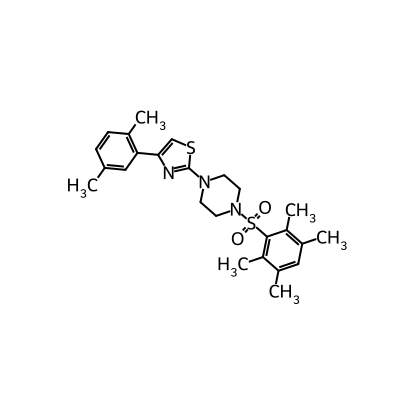 Cc1ccc(C)c(-c2csc(N3CCN(S(=O)(=O)c4c(C)c(C)cc(C)c4C)CC3)n2)c1